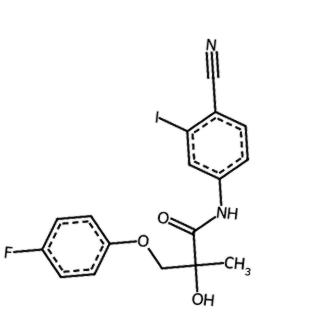 CC(O)(COc1ccc(F)cc1)C(=O)Nc1ccc(C#N)c(I)c1